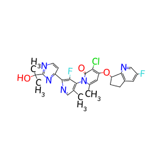 Cc1cnc(-c2ccnc(C(C)(C)O)n2)c(F)c1-n1c(C)cc(OC2CCc3cc(F)cnc32)c(Cl)c1=O